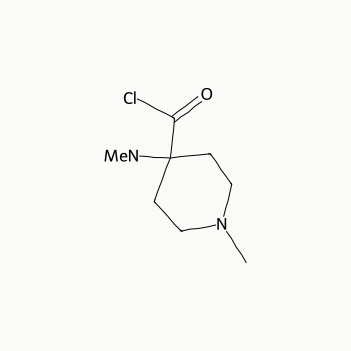 CNC1(C(=O)Cl)CCN(C)CC1